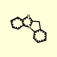 c1ccc2c(c1)Cc1nc3ccccc3n1-2